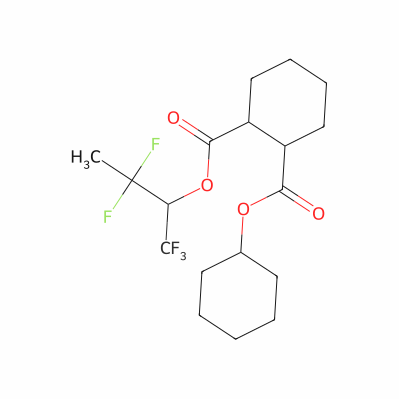 CC(F)(F)C(OC(=O)C1CCCCC1C(=O)OC1CCCCC1)C(F)(F)F